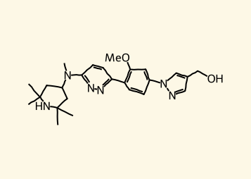 COc1cc(-n2cc(CO)cn2)ccc1-c1ccc(N(C)C2CC(C)(C)NC(C)(C)C2)nn1